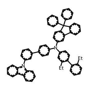 CCc1ccccc1-c1ccc(N(c2ccc(-c3cccc(-n4c5ccccc5c5ccccc54)c3)cc2)c2ccc3c(c2)-c2ccccc2C3(c2ccccc2)c2ccccc2)cc1CC